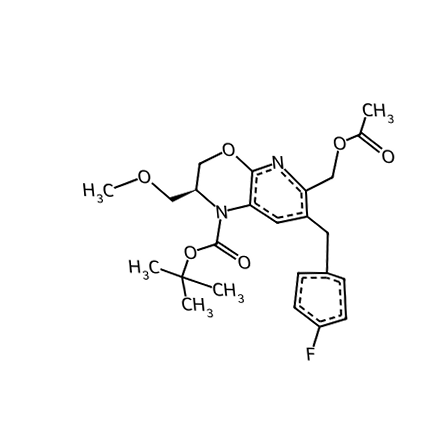 COC[C@H]1COc2nc(COC(C)=O)c(Cc3ccc(F)cc3)cc2N1C(=O)OC(C)(C)C